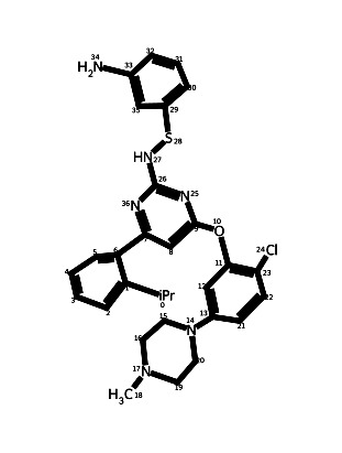 CC(C)c1ccccc1-c1cc(Oc2cc(N3CCN(C)CC3)ccc2Cl)nc(NSc2cccc(N)c2)n1